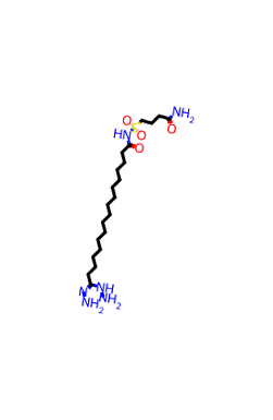 N/N=C(/CCCCCCCCCCCCCCCC(=O)NS(=O)(=O)CCCC(N)=O)NN